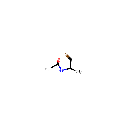 [CH2]C(C=S)NC(C)=O